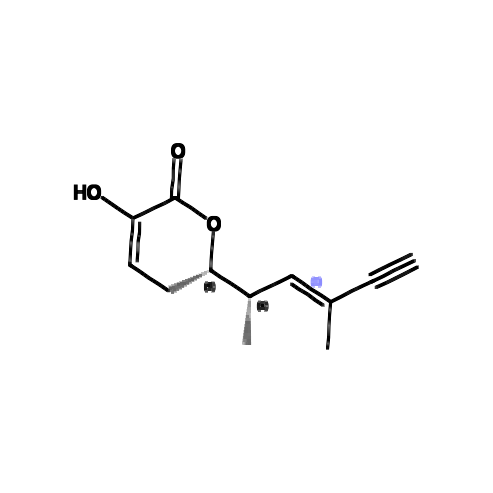 C#C/C(C)=C/[C@H](C)[C@@H]1CC=C(O)C(=O)O1